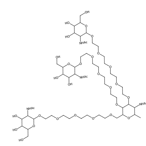 CC(=O)NC1C(OCCOCCOCCOCCOCC2OC(C)C(NC(C)=O)C(OCCOCCOCCOCCOC3OC(CO)C(O)C(O)C3NC(C)=O)C2OCCOCCOCCOCCOC2OC(CO)C(O)C(O)C2NC(C)=O)OC(CO)C(O)C1O